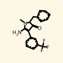 CN1C(N)=C(c2cccc(C(F)(F)F)c2)C(=O)C1Cc1ccccc1